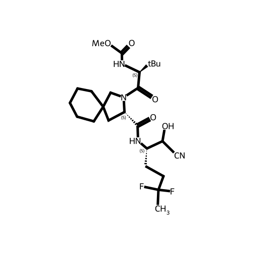 COC(=O)N[C@H](C(=O)N1CC2(CCCCC2)C[C@H]1C(=O)N[C@@H](CCC(C)(F)F)C(O)C#N)C(C)(C)C